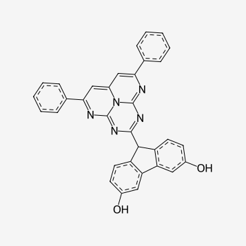 Oc1ccc2c(c1)-c1cc(O)ccc1C2C1=NC2=NC(c3ccccc3)=CC3=CC(c4ccccc4)=NC(=N1)N32